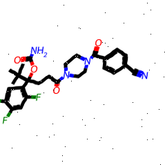 CC(C)(C)C(CCC(=O)N1CCN(C(=O)c2ccc(C#N)cc2)CC1)(OC(N)=O)c1cc(F)c(F)cc1F